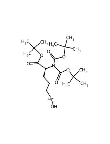 CC(C)(C)OC(=O)[C@H](CCC[13CH2]O)N(C(=O)OC(C)(C)C)C(=O)OC(C)(C)C